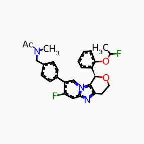 CC(=O)N(C)Cc1ccc(-c2cn3c4c(nc3cc2F)CCO[C@@H]4c2ccccc2OC(C)F)cc1